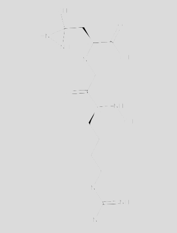 CN[C@@H](CCCCNC(=N)N)C(=O)CN[C@@H](CC1(C)NN1)C(C)=O